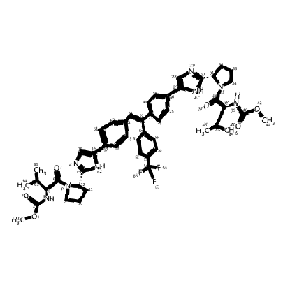 COC(=O)N[C@H](C(=O)N1CCC[C@H]1c1ncc(-c2ccc(C=C(c3ccc(-c4cnc([C@@H]5CCCN5C(=O)[C@@H](NC(=O)OC)C(C)C)[nH]4)cc3)c3ccc(C(F)(F)F)cc3)cc2)[nH]1)C(C)C